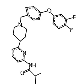 CC(C)C(=O)Nc1cccc(C2CCN(Cc3ccc(Oc4ccc(F)c(F)c4)cc3)CC2)n1